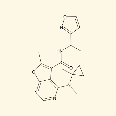 Cc1oc2ncnc(N(C)C3(C)CC3)c2c1C(=O)NC(C)c1ccon1